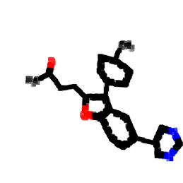 CC(=O)CCc1oc2ccc(-c3cncnc3)cc2c1-c1ccc(C)cc1